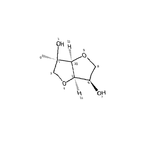 C[C@@]1(O)CO[C@@H]2[C@H](O)CO[C@@H]21